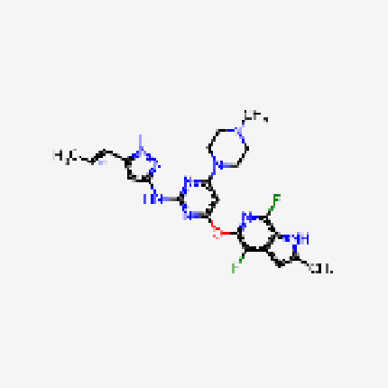 C/C=C/c1cc(Nc2nc(Oc3nc(F)c4[nH]c(C)cc4c3F)cc(N3CCN(C)CC3)n2)n[nH]1